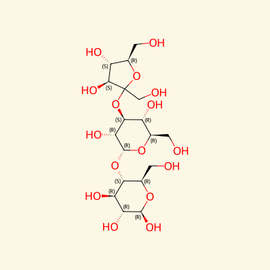 OC[C@H]1OC(CO)(O[C@@H]2[C@@H](O)[C@@H](O[C@H]3[C@H](O)[C@@H](O)[C@H](O)O[C@@H]3CO)O[C@H](CO)[C@H]2O)[C@@H](O)[C@@H]1O